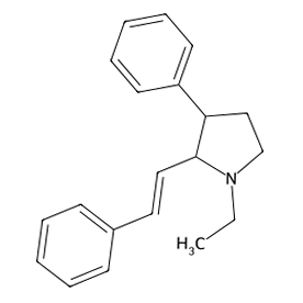 CCN1CCC(c2ccccc2)C1/C=C/c1ccccc1